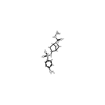 Cc1ccc(S(=O)(=O)OC2CC3CC2CN3C(=O)OC(C)(C)C)cc1